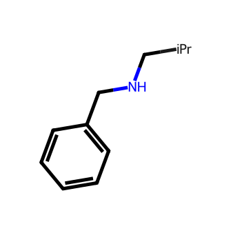 [CH2]C(C)CNCc1ccccc1